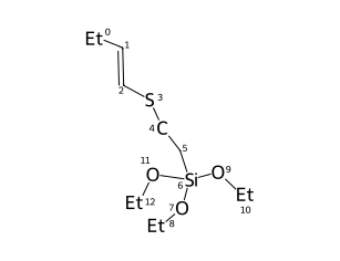 CCC=CSCC[Si](OCC)(OCC)OCC